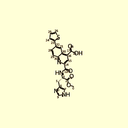 COC(=O)[C@H](Cc1c[nH]cn1)NC(=O)c1cc(C(=O)O)c2cc(-c3cccs3)ccc2n1